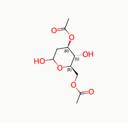 CC(=O)OC[C@H]1OC(O)C[C@@H](OC(C)=O)[C@@H]1O